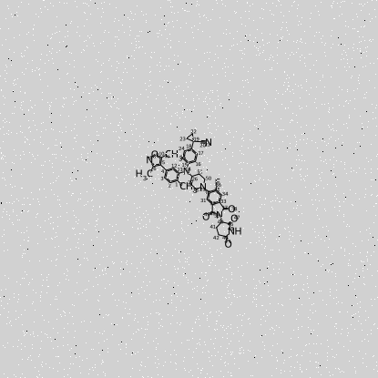 Cc1ccc(-c2c(C)noc2C)cc1N(c1ccc(C2(C#N)CC2)cc1)C1CCN(c2cc3c(cc2F)C(=O)N(C2CCC(=O)NC2=O)C3=O)CC1